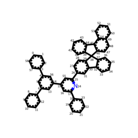 c1ccc(-c2cc(-c3ccccc3)cc(-c3cc(-c4ccccc4)nc(-c4ccc5c(c4)-c4ccccc4C54c5ccccc5-c5c4ccc4ccccc54)c3)c2)cc1